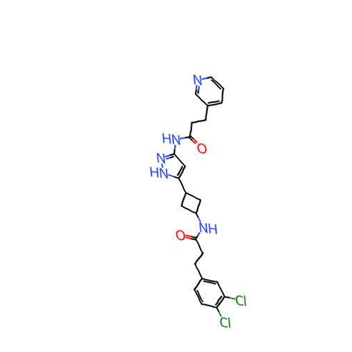 O=C(CCc1cccnc1)Nc1cc(C2CC(NC(=O)CCc3ccc(Cl)c(Cl)c3)C2)[nH]n1